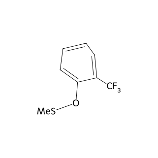 CSOc1ccccc1C(F)(F)F